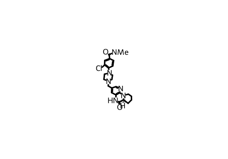 CNC(=O)c1ccc(N2CCN(Cc3cnc4c(c3)NC(=O)[C@@H]3CCCCN43)CC2)c(Cl)c1